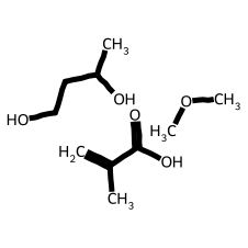 C=C(C)C(=O)O.CC(O)CCO.COC